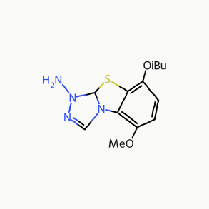 COc1ccc(OCC(C)C)c2c1N1C=NN(N)C1S2